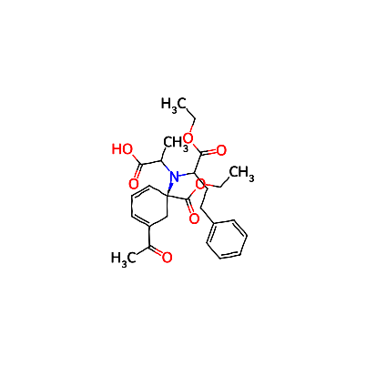 CCOC(=O)C(CCc1ccccc1)N(C(C)C(=O)O)[C@]1(C(=O)OCC)C=CC=C(C(C)=O)C1